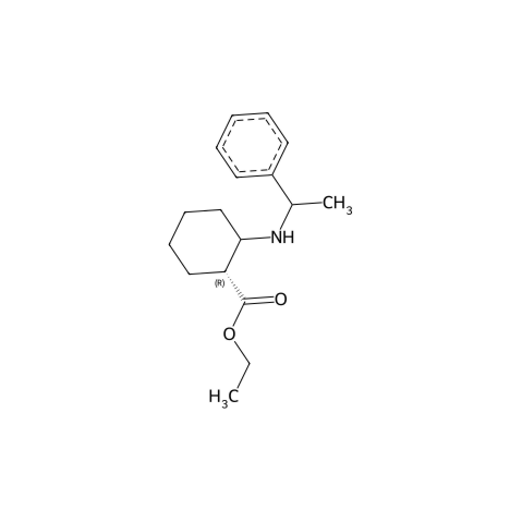 CCOC(=O)[C@@H]1CCCCC1NC(C)c1ccccc1